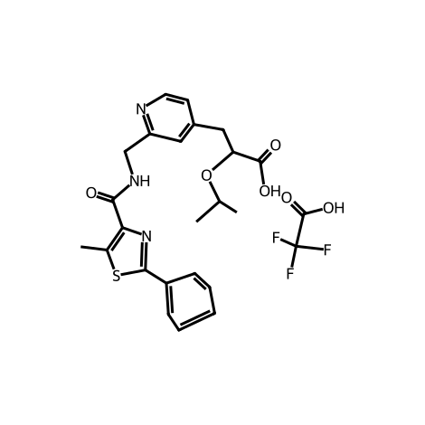 Cc1sc(-c2ccccc2)nc1C(=O)NCc1cc(CC(OC(C)C)C(=O)O)ccn1.O=C(O)C(F)(F)F